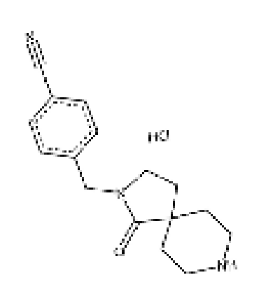 Cl.N#Cc1ccc(CN2CCC3(CCNCC3)C2=O)cc1